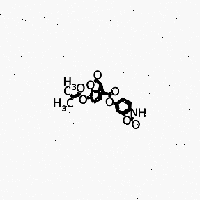 CC(C)C(=O)OC1C2CC3C1OC(=O)C3C2C(=O)Oc1ccc2[nH]c(=O)oc2c1